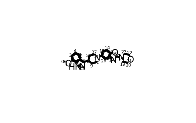 COc1cccc2c(C3CCN(c4ccc5oc(N6CCOCC6)nc5c4)CC3)n[nH]c12